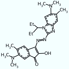 CCC(CC)n1c(N=NC2=C(O)C(=O)c3cc(N(C)C)c(C)cc32)nc2cc(C)c(N(C)C)cc21